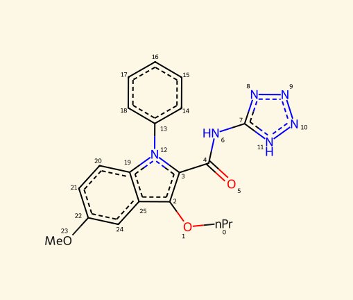 CCCOc1c(C(=O)Nc2nnn[nH]2)n(-c2ccccc2)c2ccc(OC)cc12